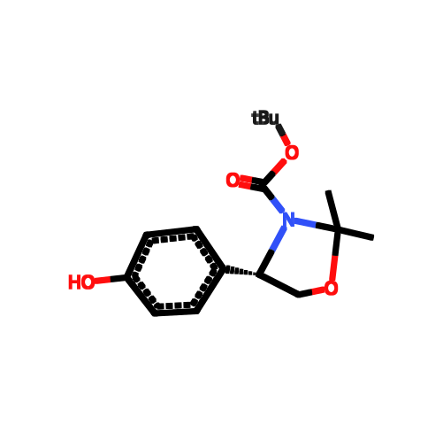 CC(C)(C)OC(=O)N1[C@@H](c2ccc(O)cc2)COC1(C)C